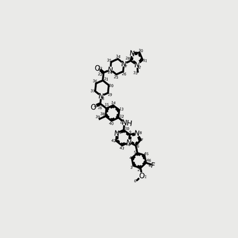 COc1ccc(-c2cnc3c(Nc4ccc(C(=O)N5CCC(C(=O)N6CCN(c7nccn7C)CC6)CC5)c(C)c4)nccn23)cc1F